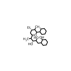 CC[C@@H](CCC(C)[C@@H](O)C(O)CC1CCCCC1O)C(C)C(O)C1CCCCC1